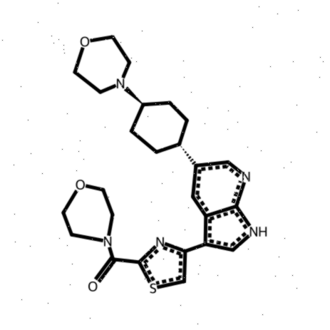 O=C(c1nc(-c2c[nH]c3ncc([C@H]4CC[C@H](N5CCOCC5)CC4)cc23)cs1)N1CCOCC1